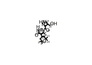 CC1(C)Cc2c(sc(NC(=O)c3n[nH]cc3CO)c2C(N)=O)C(C)(C)O1